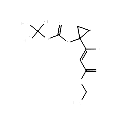 CCOC(=O)/C=C(\O)C1(NC(=O)OC(C)(C)C)CC1